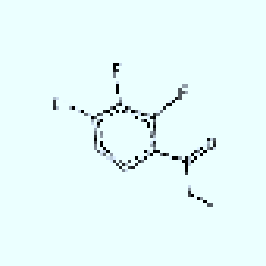 CCC(=O)c1ccc(Br)c(F)c1F